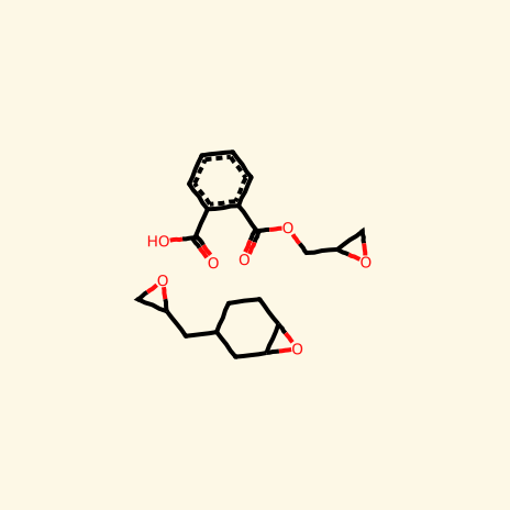 C1CC2OC2CC1CC1CO1.O=C(O)c1ccccc1C(=O)OCC1CO1